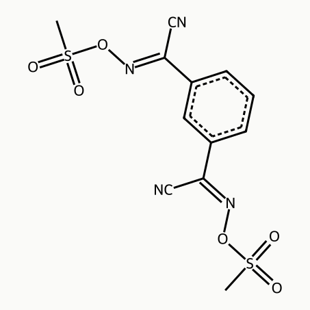 CS(=O)(=O)ON=C(C#N)c1cccc(C(C#N)=NOS(C)(=O)=O)c1